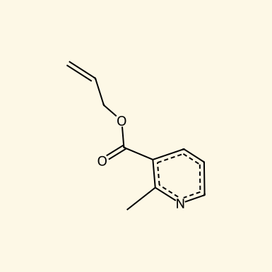 C=CCOC(=O)c1cccnc1C